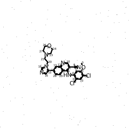 COc1cc(Nc2c(C#N)cnc3cc(-c4cncn4CCN4CCOCC4)ccc23)c(Cl)cc1Cl